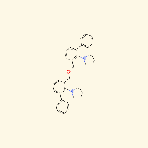 c1ccc(-c2cccc(COCc3cccc(-c4ccccc4)c3N3CCCC3)c2N2CCCC2)cc1